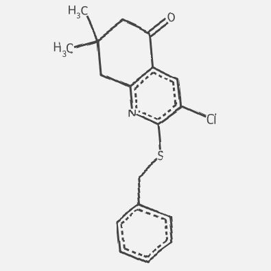 CC1(C)CC(=O)c2cc(Cl)c(SCc3ccccc3)nc2C1